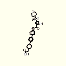 O=C(O)CC1CCC(c2ccc(-c3ccc(NC(=O)c4cc(S(=O)(=O)N5CCOCC5)c[nH]4)cn3)cc2)CC1